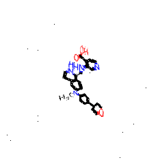 CN(c1ccc(C2CCOCC2)cc1)c1ccc2c(c1)CCN[C@@H]2CNc1cnccc1C(=O)O